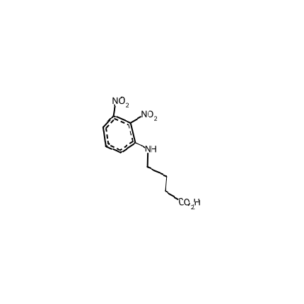 O=C(O)CCCNc1cccc([N+](=O)[O-])c1[N+](=O)[O-]